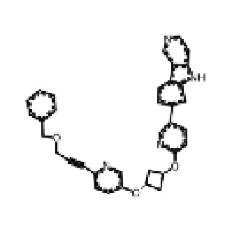 C(#Cc1ccc(O[C@H]2C[C@H](Oc3ccc(-c4ccc5c(c4)[nH]c4ccncc45)cn3)C2)cn1)COCc1ccccc1